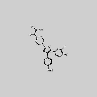 COc1ccc(-c2nc(C3CCN(C(=O)N(O)C(C)C)CC3)oc2-c2ccc(F)c(F)c2)cc1